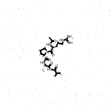 CC(=O)N[C@@H](CCCNC(=N)N)C(=O)N1CCC[C@H]1C(=O)N[C@@H](C)C(=O)NC(=O)C(C)C